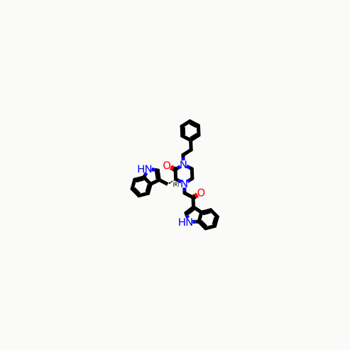 O=C(CN1CCN(CCc2ccccc2)C(=O)[C@H]1Cc1c[nH]c2ccccc12)c1c[nH]c2ccccc12